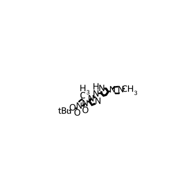 C[C@H]1CN(C(=O)OC(C)(C)C)C(=O)N1c1ccnc(Nc2ccc(N3CCN(C)CC3)cn2)n1